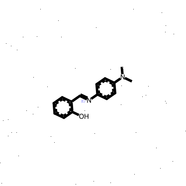 CN(C)c1ccc(/N=C/c2ccccc2O)cc1